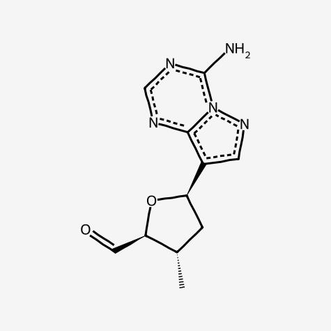 C[C@H]1C[C@H](c2cnn3c(N)ncnc23)O[C@@H]1C=O